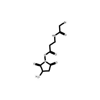 CC1CC(=O)N(OC(=O)CCNC(=O)CBr)C1=O